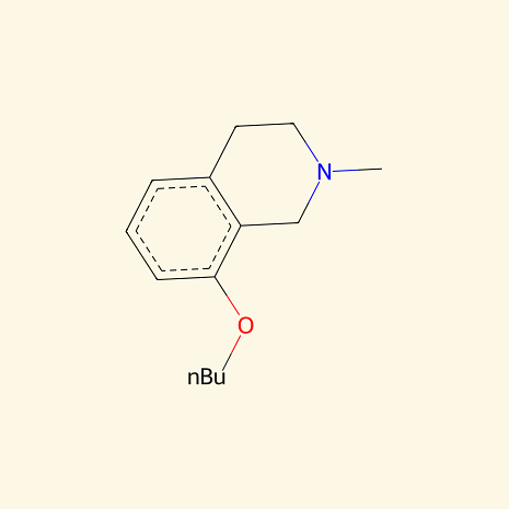 CCCCOc1cccc2c1CN(C)CC2